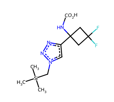 C[Si](C)(C)Cn1cc(C2(NC(=O)O)CC(F)(F)C2)nn1